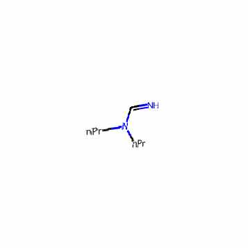 CCCN([C]=N)CCC